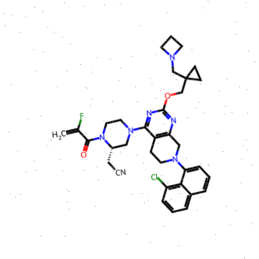 C=C(F)C(=O)N1CCN(c2nc(OCC3(CN4CCC4)CC3)nc3c2CCN(c2cccc4cccc(Cl)c24)C3)C[C@@H]1CC#N